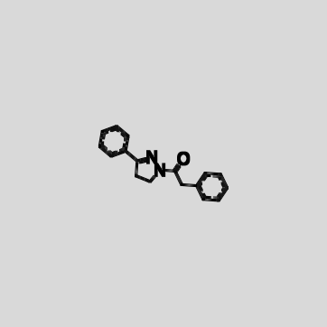 O=C(Cc1ccccc1)N1CCC(c2ccccc2)=N1